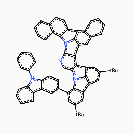 CC(C)(C)c1cc(-c2ccc3c(c2)c2ccccc2n3-c2ccccc2)c2c(c1)c1cc(C(C)(C)C)cc3c4c5c6cc7ccccc7c7c8ccc9ccccc9c8n(c5ncc4n2c13)c67